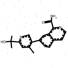 Cc1cc(C(C)(C)O)ncc1-c1ccc2c[c]nc(C(N)=O)c2c1